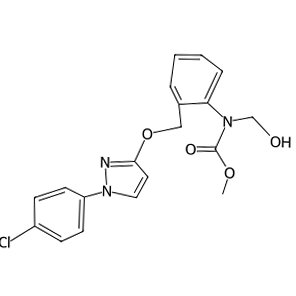 COC(=O)N(CO)c1ccccc1COc1ccn(-c2ccc(Cl)cc2)n1